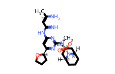 CCS(=O)(=O)N1[C@@H]2CCC[C@H]1C[C@H](N(C)c1nc(NC(=N)/C=C(/C)N)cc([C@H]3CCCO3)n1)C2